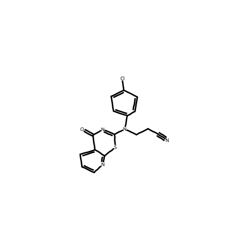 N#CCCN(c1ccc(Cl)cc1)c1nc(=O)c2cccnc2s1